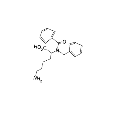 NCCCCC(C(=O)O)N(Cc1ccccc1)C(=O)c1ccccc1